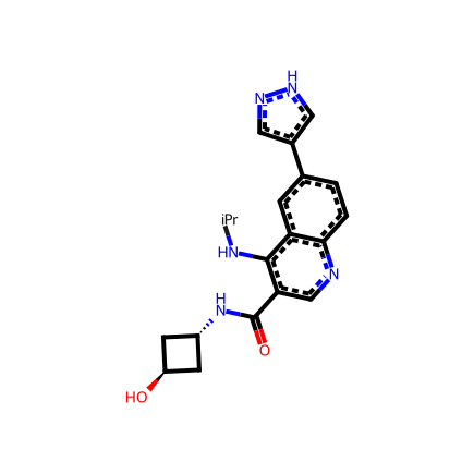 CC(C)Nc1c(C(=O)N[C@H]2C[C@H](O)C2)cnc2ccc(-c3cn[nH]c3)cc12